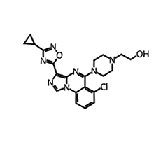 OCCN1CCN(c2nc3c(-c4nc(C5CC5)no4)ncn3c3cccc(Cl)c23)CC1